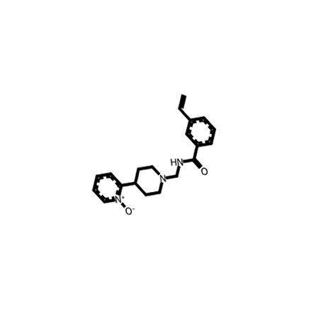 C=Cc1cccc(C(=O)NCN2CCC(c3cccc[n+]3[O-])CC2)c1